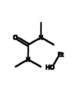 CCO.CN(C)C(=O)N(C)C